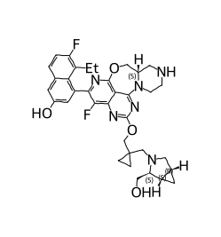 CCc1c(F)ccc2cc(O)cc(-c3nc4c5c(nc(OCC6(CN7C[C@@H]8C[C@@H]8[C@H]7CO)CC6)nc5c3F)N3CCNC[C@H]3CO4)c12